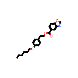 CCCCCCOc1ccc(CCOC(=O)c2ccc3ocnc3c2)cc1